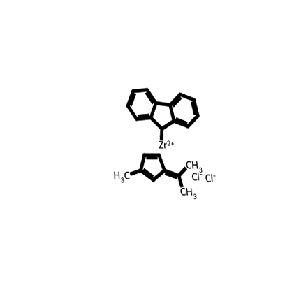 CC1=CC(=C(C)C)C=C1.[Cl-].[Cl-].[Zr+2][CH]1c2ccccc2-c2ccccc21